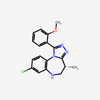 COc1ccccc1-c1nnc2n1-c1ccc(Cl)cc1NC[C@H]2C